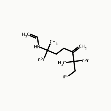 C=CNC(C)(CCC)CCC(=C)C(C)(CCC)CC(C)C